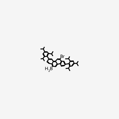 Bc1cc2c3ccc(-c4c(C(C)C)cc(C(C)C)cc4C(C)C)cc3c(Br)cc2c2cc(-c3c(C(C)C)cc(C(C)C)cc3C(C)C)ccc12